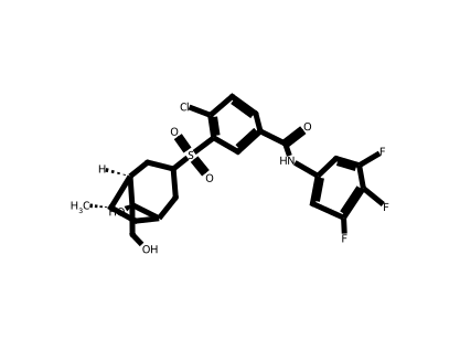 C[C@H]1CC2CC(S(=O)(=O)c3cc(C(=O)Nc4cc(F)c(F)c(F)c4)ccc3Cl)C[C@H]1[C@@]2(O)CO